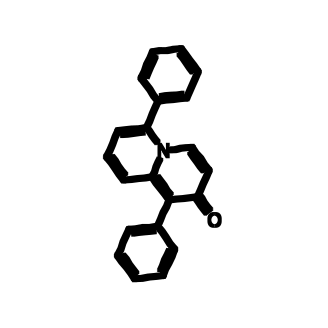 O=c1ccn2c(-c3ccccc3)cccc2c1-c1ccccc1